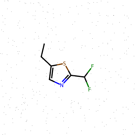 CCc1cnc(C(F)F)s1